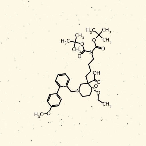 CCOP1(=O)CCN(Cc2ccccc2-c2ccc(OC)cc2)CC1(CCCCN(C(=O)OC(C)(C)C)C(=O)OC(C)(C)C)C(=O)O